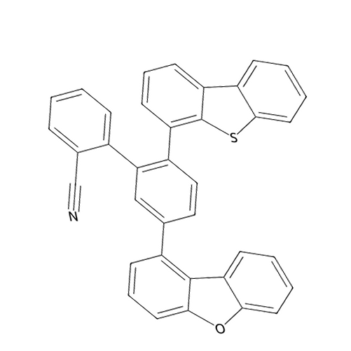 N#Cc1ccccc1-c1cc(-c2cccc3oc4ccccc4c23)ccc1-c1cccc2c1sc1ccccc12